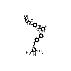 C[C@@H]1CN(CCCc2ccc(-c3cccc(Oc4ncc(F)cc4C(=O)N[C@H]4CC[C@H](NC(=O)c5csc(CO)n5)CC4)c3)cc2)C[C@H](C)N1